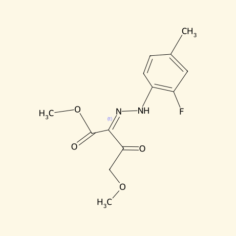 COCC(=O)/C(=N\Nc1ccc(C)cc1F)C(=O)OC